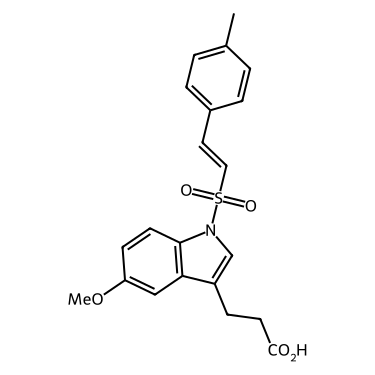 COc1ccc2c(c1)c(CCC(=O)O)cn2S(=O)(=O)C=Cc1ccc(C)cc1